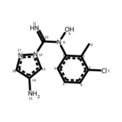 Cc1c(Cl)cccc1N(O)C(=N)n1cc(N)cn1